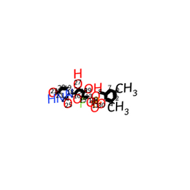 Cc1cc(C)c2c(c1)COP(=O)(OC[C@@]1(F)O[C@@H](n3ccc(=O)[nH]c3=O)[C@H](O)[C@@H]1O)O2